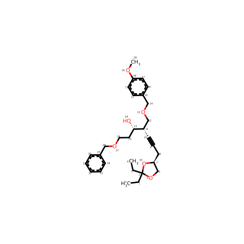 CCC1(CC)OC[C@H](CC#C[C@@H](COCc2ccc(OC)cc2)[C@@H](O)CCOCc2ccccc2)O1